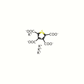 O=C([O-])c1sc(C(=O)[O-])c(C(=O)[O-])c1C(=O)[O-].[K+].[K+].[K+].[K+]